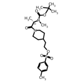 Cc1ccc(S(=O)(=O)OCCC2CCN(C(=O)[C@H](C)N(C)C(=O)OC(C)(C)C)CC2)cc1